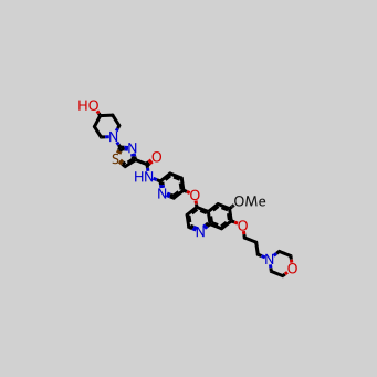 COc1cc2c(Oc3ccc(NC(=O)c4csc(N5CCC(O)CC5)n4)nc3)ccnc2cc1OCCCN1CCOCC1